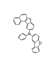 c1ccc(N(c2ccc3oc4ccccc4c3c2)c2ccc3sc4ccc5ccccc5c4c3c2)cc1